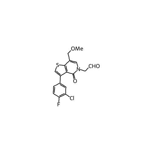 COCc1cn(CC=O)c(=O)c2c(-c3ccc(F)c(Cl)c3)csc12